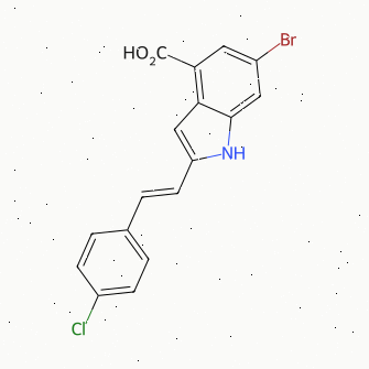 O=C(O)c1cc(Br)cc2[nH]c(C=Cc3ccc(Cl)cc3)cc12